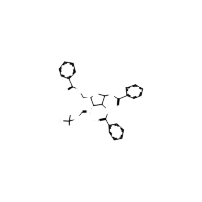 O=C(OC[C@H]1OC(OC(=O)c2ccccc2)C(OC(=O)c2ccccc2)[C@H]1/N=C/OC(F)(F)F)c1ccccc1